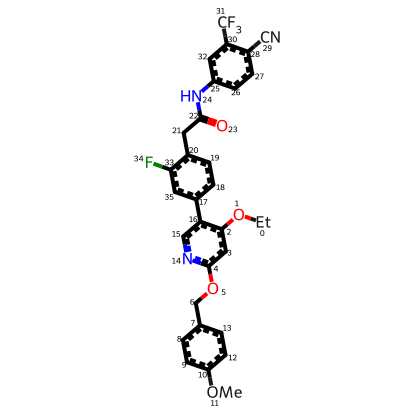 CCOc1cc(OCc2ccc(OC)cc2)ncc1-c1ccc(CC(=O)Nc2ccc(C#N)c(C(F)(F)F)c2)c(F)c1